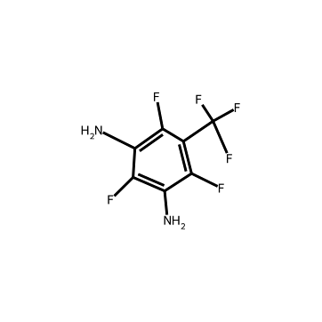 Nc1c(F)c(N)c(F)c(C(F)(F)F)c1F